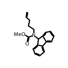 C=CCCCN(C(=O)OC)C1c2ccccc2-c2ccccc21